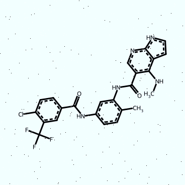 CNc1c(C(=O)Nc2cc(NC(=O)c3ccc(Cl)c(C(F)(F)F)c3)ccc2C)cnc2[nH]ccc12